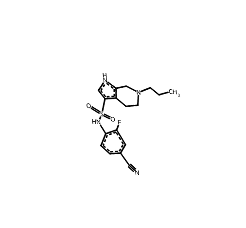 CCCN1CCc2c(S(=O)(=O)Nc3ccc(C#N)cc3F)c[nH]c2C1